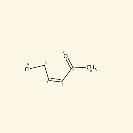 CC(=O)/C=C\CCl